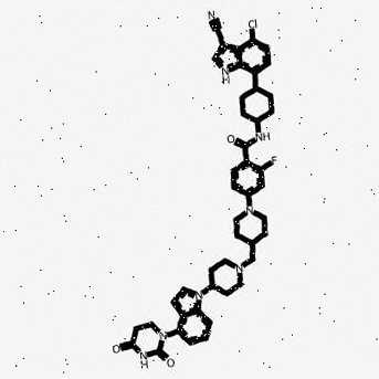 N#Cc1c[nH]c2c(C3CCC(NC(=O)c4ccc(N5CCC(CN6CCC(n7ccc8c(N9CCC(=O)NC9=O)cccc87)CC6)CC5)cc4F)CC3)ccc(Cl)c12